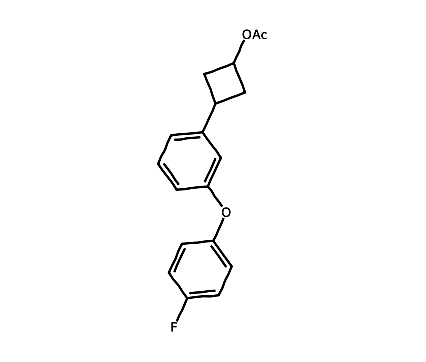 CC(=O)OC1CC(c2cccc(Oc3ccc(F)cc3)c2)C1